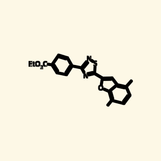 CCOC(=O)c1ccc(-c2nsc(-c3cc4c(C)ccc(C)c4o3)n2)cc1